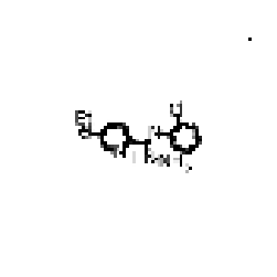 CCOc1ccc(/C(=N/c2ccccc2Cl)NN)nc1